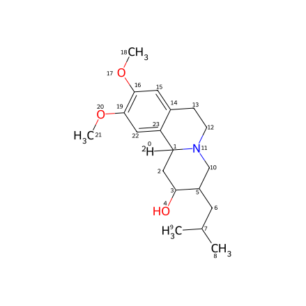 [2H]C12CC(O)C(CC(C)C)CN1CCc1cc(OC)c(OC)cc12